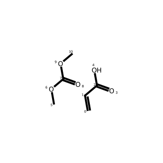 C=CC(=O)O.COC(=O)OC